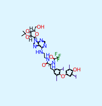 CC1(C)O[C@@H]2[C@H](O1)[C@@H](CO)O[C@H]2n1cnc2c(NCCNC(=O)[C@H](Cc3cc(I)c(Oc4cc(I)c(O)c(I)c4)c(I)c3)NC(=O)C(F)(F)F)ncnc21